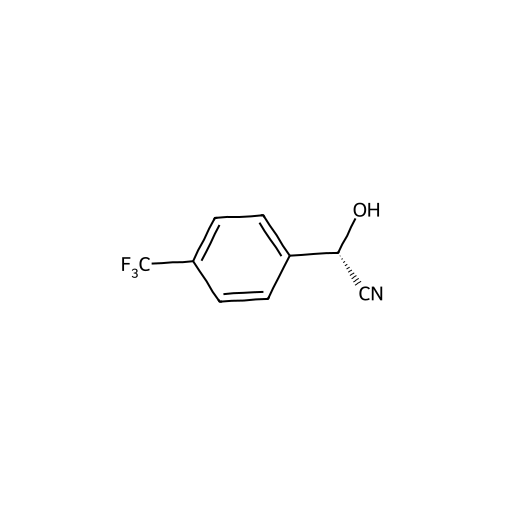 N#C[C@@H](O)c1ccc(C(F)(F)F)cc1